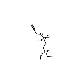 C#CCOS(=O)(=O)CCP(=O)(CC)OC